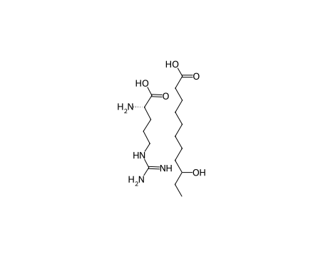 CCC(O)CCCCCCCC(=O)O.N=C(N)NCCC[C@H](N)C(=O)O